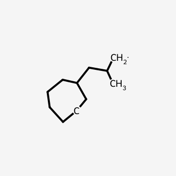 [CH2]C(C)CC1CCCCCC1